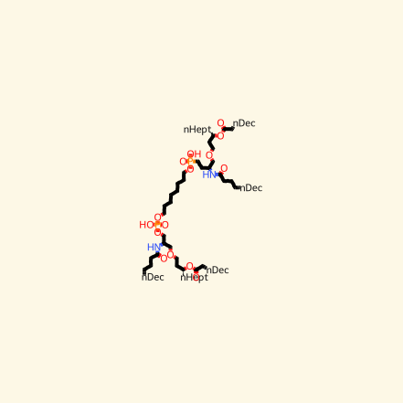 CCCCCCCCCCCCCC(=O)NC(CCP(=O)(O)OCCCCCCCCOP(=O)(O)OCC(COCC[C@@H](CCCCCCC)OC(=O)CCCCCCCCCCC)NC(=O)CCCCCCCCCCCCC)COCC[C@@H](CCCCCCC)OC(=O)CCCCCCCCCCC